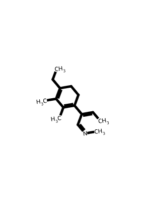 C/C=C(\C=N/C)C1=C(C)C(C)=C(CC)CC1